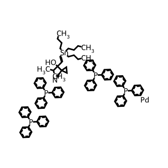 CCC[CH2][Sn](/[CH]=C/C(O)(C(C)C)C1(C#N)CC1)([CH2]CCC)[CH2]CCC.[Pd].c1ccc(P(c2ccccc2)c2ccccc2)cc1.c1ccc(P(c2ccccc2)c2ccccc2)cc1.c1ccc(P(c2ccccc2)c2ccccc2)cc1.c1ccc(P(c2ccccc2)c2ccccc2)cc1